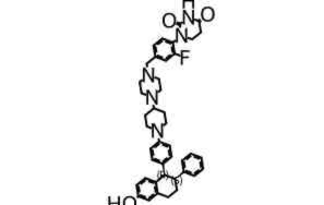 O=C1CCN(c2ccc(CN3CCN(C4CCN(c5ccc([C@@H]6c7ccc(O)cc7CC[C@@H]6c6ccccc6)cc5)CC4)CC3)cc2F)C(=O)N1